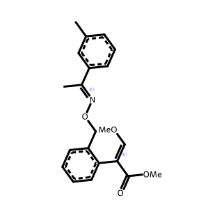 CO/C=C(/C(=O)OC)c1ccccc1CO/N=C(\C)c1cccc(C)c1